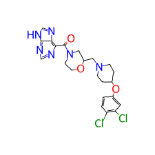 O=C(c1ncnc2[nH]cnc12)N1CCOC(CN2CCC(Oc3ccc(Cl)c(Cl)c3)CC2)C1